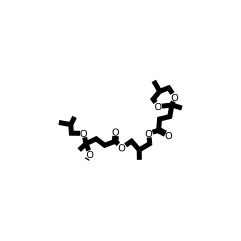 COC(C)(CCC(=O)OCC(C)COC(=O)CCC1(C)OCC(C)CO1)OCC(C)C